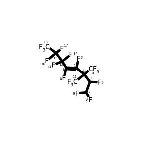 FC(=C(F)C(C(F)C(F)F)(C(F)(F)F)C(F)(F)F)C(F)(F)C(F)(F)C(F)(F)F